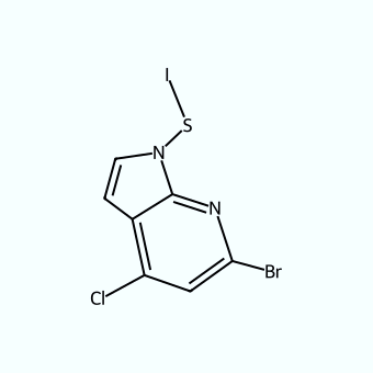 Clc1cc(Br)nc2c1ccn2SI